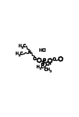 CCCCN(CCCC)CCCOc1ccc(S(=O)(=O)c2c(C(C)C)cn3cc(OCc4ccccc4)ccc23)cc1.Cl